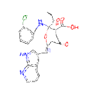 CC(O)C1(Nc2ccccc2Cl)O/C(=C\c2c[nH]c3ncccc23)C(=O)C1C(=O)O